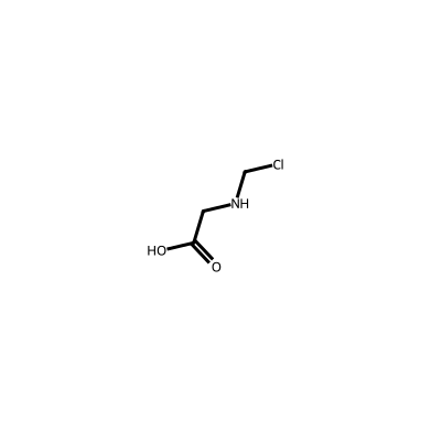 O=C(O)CNCCl